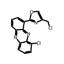 ClCc1coc(-c2cccc3nc4cccc(Cl)c4nc23)n1